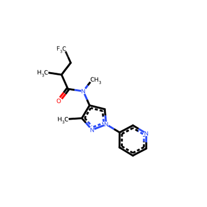 Cc1nn(-c2cccnc2)cc1N(C)C(=O)C(C)CC(F)(F)F